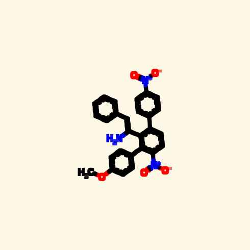 COc1ccc(-c2c([N+](=O)[O-])ccc(-c3ccc([N+](=O)[O-])cc3)c2C(N)=Cc2ccccc2)cc1